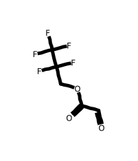 O=CC(=O)OCC(F)(F)C(F)(F)F